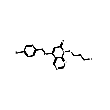 CCCCOn1c(=O)cc(NCc2ccc(Br)cc2)c2cncnc21